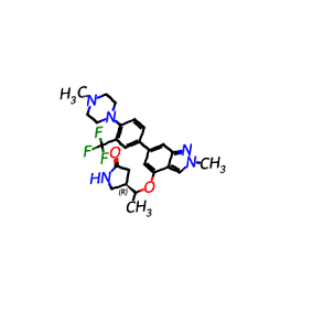 CC(Oc1cc(-c2ccc(N3CCN(C)CC3)c(C(F)(F)F)c2)cc2nn(C)cc12)[C@H]1CNC(=O)C1